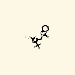 Cc1nc(C(F)(F)F)c(Cn2nc3n(c2=O)CCCC3)s1